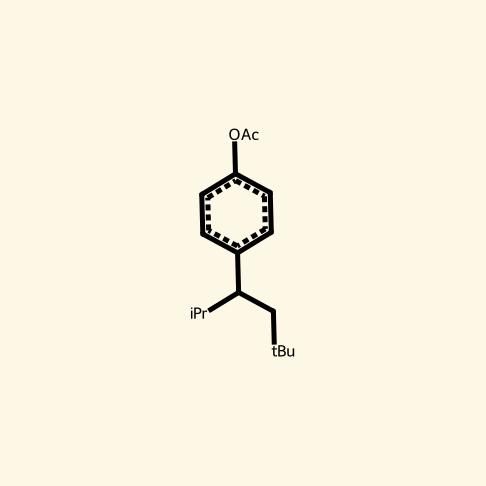 CC(=O)Oc1ccc(C(CC(C)(C)C)C(C)C)cc1